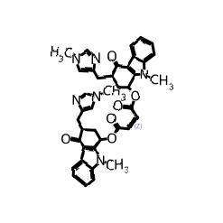 Cn1cnc(CC2CC(OC(=O)/C=C\C(=O)OC3CC(Cc4cn(C)cn4)C(=O)c4c3n(C)c3ccccc43)c3c(c4ccccc4n3C)C2=O)c1